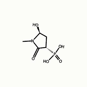 CN1C(=O)[C@@H](P(=O)(O)O)C[C@@H]1O